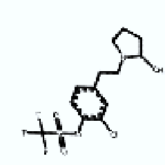 CC1CCCN1CCc1ccc(OS(=O)(=O)C(F)(F)F)c(Cl)c1